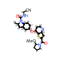 COC1CCCN1C(=O)c1cc2nccc(Oc3ccc4c(c3)cc(C)n4C(=O)NCC#N)c2s1